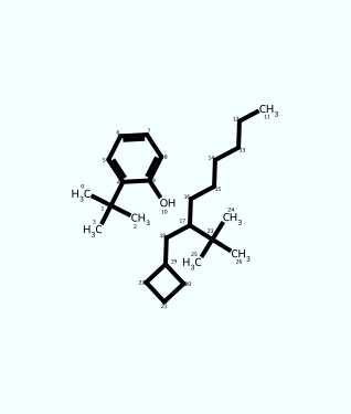 CC(C)(C)c1ccccc1O.CCCCCCC(CC1CCC1)C(C)(C)C